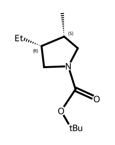 CC[C@H]1CN(C(=O)OC(C)(C)C)C[C@H]1C